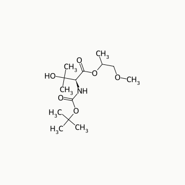 COCC(C)OC(=O)[C@@H](NC(=O)OC(C)(C)C)C(C)(C)O